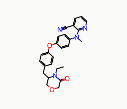 CCN1C(=O)COCC1Cc1ccc(Oc2ccc(N(C)c3ncccc3C#N)cc2)cc1